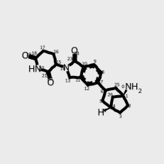 N[C@]12CC[C@H](CC(c3ccc4c(c3)CN(C3CCC(=O)NC3=O)C4=O)C1)C2